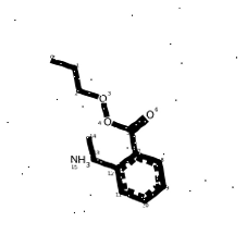 CCCOOC(=O)c1ccccc1CC.N